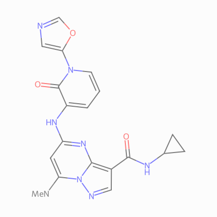 CNc1cc(Nc2cccn(-c3cnco3)c2=O)nc2c(C(=O)NC3CC3)cnn12